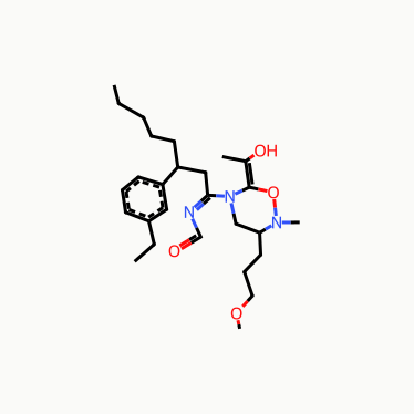 CCCCCC(C/C(=N/C=O)N1CC(CCCOC)N(C)O/C1=C(/C)O)c1cccc(CC)c1